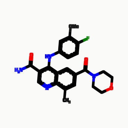 COc1cc(Nc2c(C(N)=O)cnc3c(C)cc(C(=O)N4CCOCC4)cc23)ccc1F